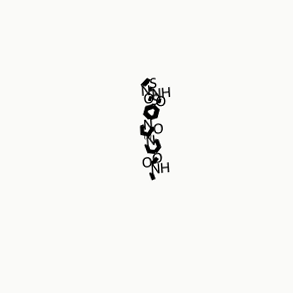 CCNC(=O)OC1CCN([C@H]2CCN(c3ccc(S(=O)(=O)Nc4nccs4)cc3)C2=O)CC1